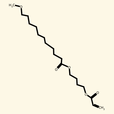 C=CC(=O)OCCCCOC(=O)CCCCCCCCCCOC